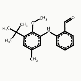 COc1c(Pc2ccccc2C=O)cc(C)cc1C(C)(C)C